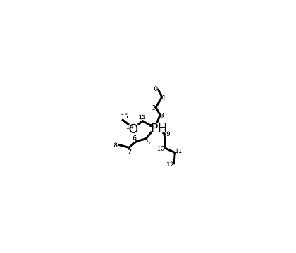 CCCC[PH](CCCC)(CCCC)COC